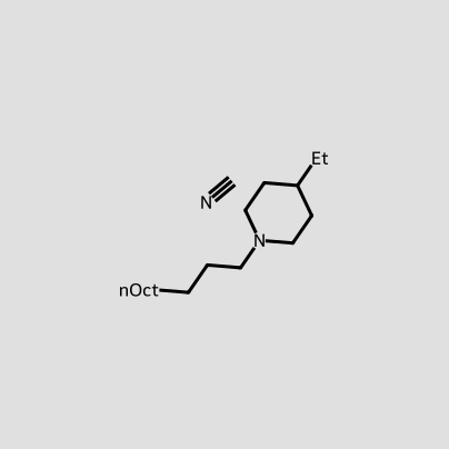 C#N.CCCCCCCCCCCN1CCC(CC)CC1